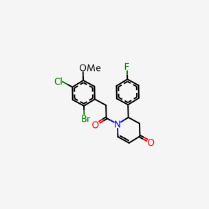 COc1cc(CC(=O)N2C=CC(=O)CC2c2ccc(F)cc2)c(Br)cc1Cl